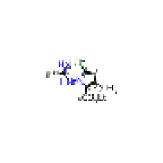 CCOC(=O)c1c(C)cc(Cl)n1NC(=N)C(C)C